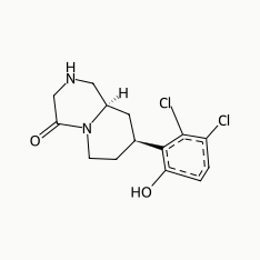 O=C1CNC[C@H]2C[C@@H](c3c(O)ccc(Cl)c3Cl)CCN12